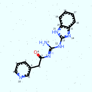 N/C(=N\C(=O)Cc1cccnc1)Nc1nc2ccccc2[nH]1